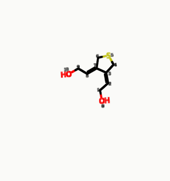 OCC=C1CSCC1=CCO